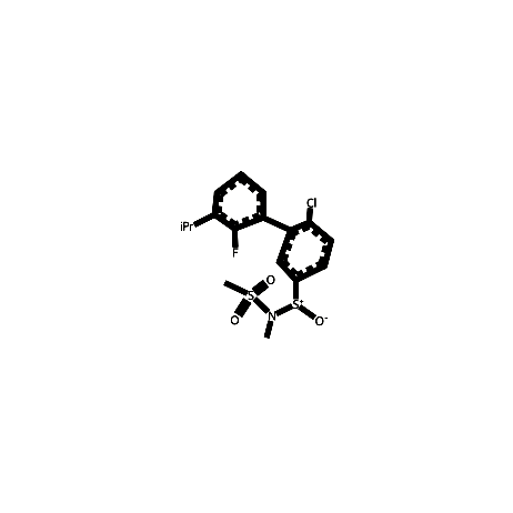 CC(C)c1cccc(-c2cc([S+]([O-])N(C)S(C)(=O)=O)ccc2Cl)c1F